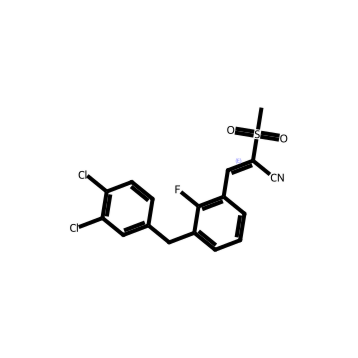 CS(=O)(=O)/C(C#N)=C/c1cccc(Cc2ccc(Cl)c(Cl)c2)c1F